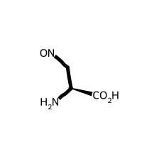 N[C@@H](CN=O)C(=O)O